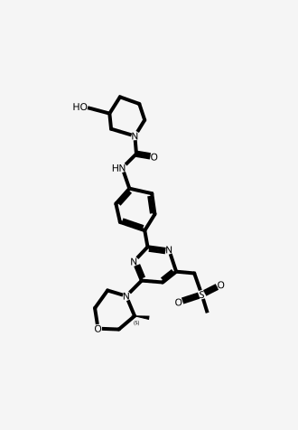 C[C@H]1COCCN1c1cc(CS(C)(=O)=O)nc(-c2ccc(NC(=O)N3CCCC(O)C3)cc2)n1